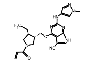 C=CC(=O)N1C[C@@H](COc2nc(Nc3cnn(C)c3)nc3[nH]cc(C#N)c23)[C@H](CC(F)(F)F)C1